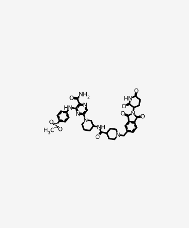 CS(=O)(=O)c1ccc(Nc2nc(N3CCCC(NC(=O)C4CCN(Cc5ccc6c(c5)C(=O)N(C5CCC(=O)NC5=O)C6=O)CC4)C3)cnc2C(N)=O)cc1